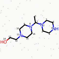 CC(N1CCNCC1)N1CCN(CCO)CC1